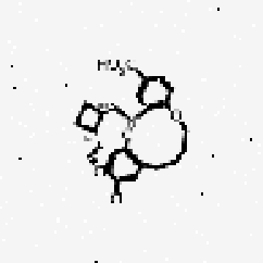 C=CC[C@@H]1CC[C@H]1CN1Cc2ccc(Cl)cc2CCCCOc2ccc(C(=O)O)cc21